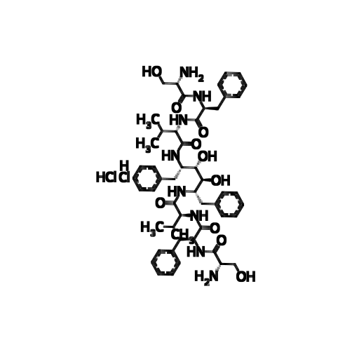 CC(C)[C@H](NC(=O)[C@H](Cc1ccccc1)NC(=O)[C@@H](N)CO)C(=O)N[C@@H](Cc1ccccc1)[C@H](O)[C@@H](O)[C@H](Cc1ccccc1)NC(=O)[C@@H](NC(=O)[C@H](Cc1ccccc1)NC(=O)[C@@H](N)CO)C(C)C.Cl.Cl